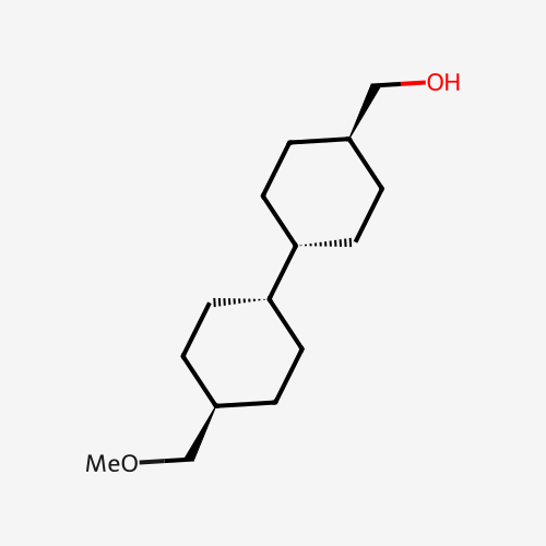 COC[C@H]1CC[C@H]([C@H]2CC[C@H](CO)CC2)CC1